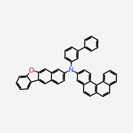 c1ccc(-c2cccc(N(c3ccc4cc5c(cc4c3)oc3ccccc35)c3ccc4c(ccc5ccc6ccccc6c54)c3)c2)cc1